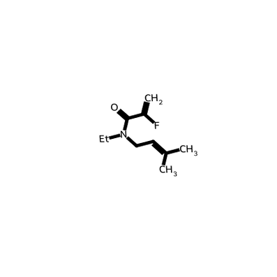 C=C(F)C(=O)N(CC)CC=C(C)C